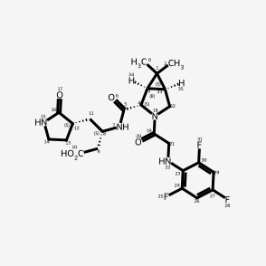 CC1(C)[C@@H]2[C@@H](C(=O)N[C@H](CC(=O)O)C[C@@H]3CCNC3=O)N(C(=O)CNc3c(F)cc(F)cc3F)C[C@@H]21